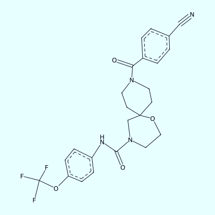 N#Cc1ccc(C(=O)N2CCC3(CC2)CN(C(=O)Nc2ccc(OC(F)(F)F)cc2)CCO3)cc1